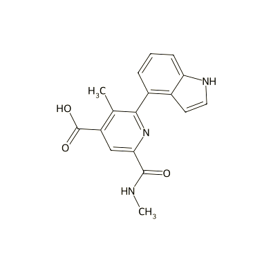 CNC(=O)c1cc(C(=O)O)c(C)c(-c2cccc3[nH]ccc23)n1